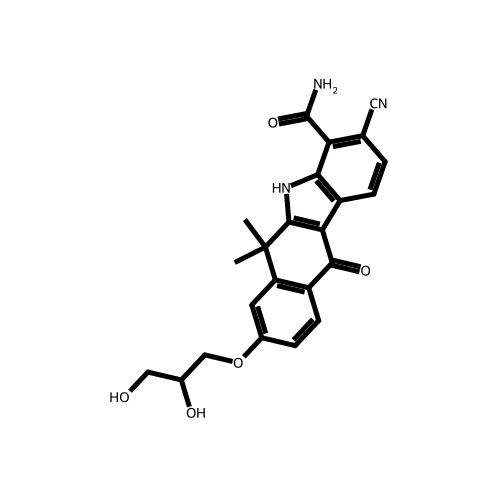 CC1(C)c2cc(OCC(O)CO)ccc2C(=O)c2c1[nH]c1c(C(N)=O)c(C#N)ccc21